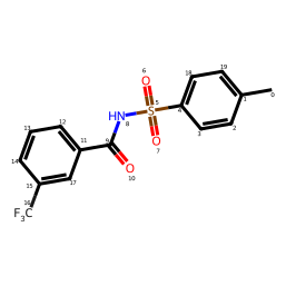 Cc1ccc(S(=O)(=O)NC(=O)c2cccc(C(F)(F)F)c2)cc1